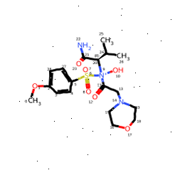 COc1ccc(S(=O)(=O)[N+](O)(C(=O)CN2CCOCC2)[C@@H](C(N)=O)C(C)C)cc1